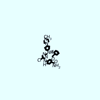 CN1CCN(c2ccc(Nc3ncc(Cl)c(Nc4ccc(C(N)=O)c(OCc5ccccc5F)c4)n3)cc2)CC1